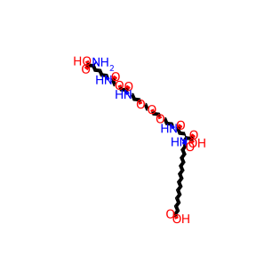 N[C@@H](CCCCNC(=O)COCC(=O)NCCCOCCOCCOCCCNC(=O)CC[C@H](NC(=O)CCCCCCCCCCCCCCCCC(=O)O)C(=O)O)C(=O)O